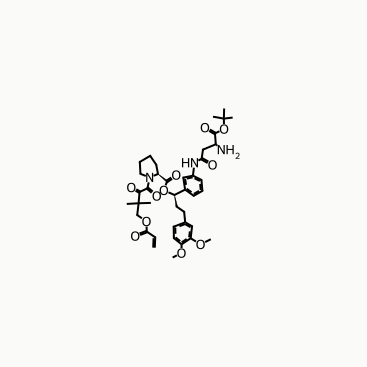 C=CC(=O)OCC(C)(C)C(=O)C(=O)N1CCCC[C@H]1C(=O)O[C@H](CCc1ccc(OC)c(OC)c1)c1cccc(NC(=O)C[C@H](N)C(=O)OC(C)(C)C)c1